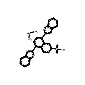 CNC.O=S(=O)(O)c1ccc2c(-c3nc4ccccc4o3)ccc(-c3nc4ccccc4o3)c2c1